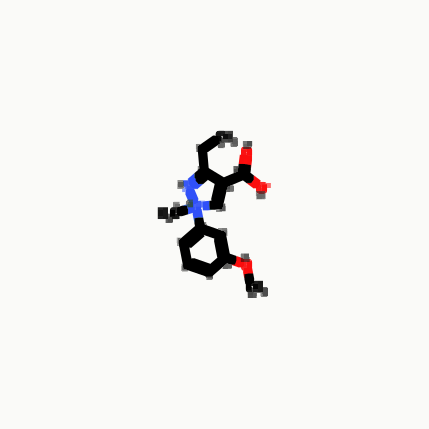 CCC1=N[N+](C)(c2cccc(OC)c2)C=C1C(=O)[O-]